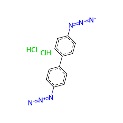 Cl.Cl.[N-]=[N+]=Nc1ccc(-c2ccc(N=[N+]=[N-])cc2)cc1